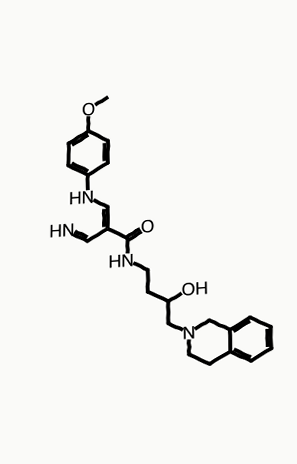 COc1ccc(N/C=C(\C=N)C(=O)NCCC(O)CN2CCc3ccccc3C2)cc1